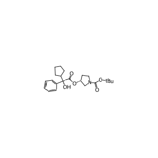 CC(C)(C)OC(=O)N1CCC(OC(=O)C(O)(c2ccccc2)C2CCCC2)C1